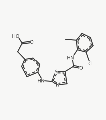 Cc1cccc(Cl)c1NC(=O)c1cnc(Nc2ccc(CC(=O)O)cc2)s1